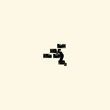 O=C(O)C[N+](=O)[O-].[NaH].[NaH].[NaH]